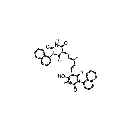 CC(C=Cc1c(O)[nH]c(=O)n(-c2cccc3ccccc23)c1=O)=CC=C1C(=O)NC(=O)N(c2cccc3ccccc23)C1=O